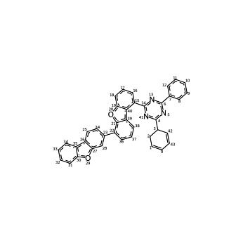 C1=CCC(c2nc(-c3ccccc3)nc(-c3cccc4oc5c(-c6ccc7c(c6)oc6ccccc67)cccc5c34)n2)C=C1